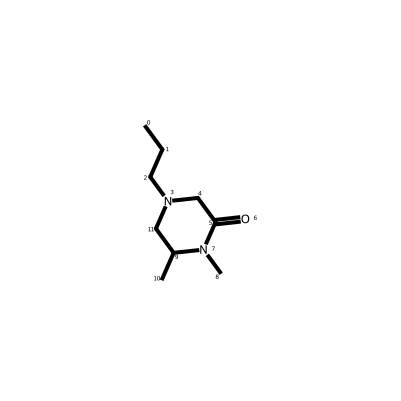 CCCN1CC(=O)N(C)C(C)C1